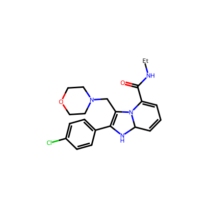 CCNC(=O)C1=CC=CC2NC(c3ccc(Cl)cc3)=C(CN3CCOCC3)N12